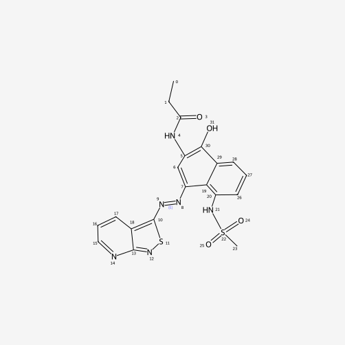 CCC(=O)Nc1cc(/N=N/c2snc3ncccc23)c2c(NS(C)(=O)=O)cccc2c1O